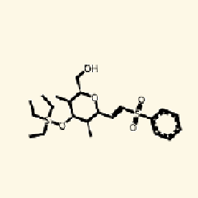 CC[Si](CC)(CC)O[C@H]1C(C)[C@@H](CO)OC(/C=C/S(=O)(=O)c2ccccc2)[C@H]1C